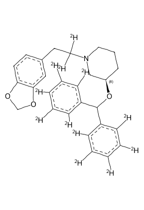 [2H]c1c([2H])c([2H])c(C(O[C@@H]2CCCN(C([2H])([2H])Cc3ccc4c(c3)OCO4)C2)c2c([2H])c([2H])c([2H])c([2H])c2[2H])c([2H])c1[2H]